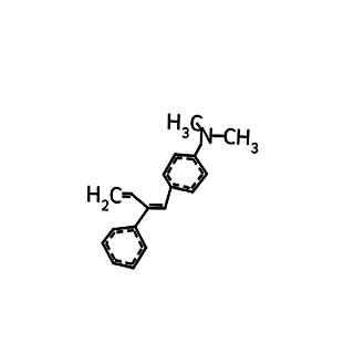 C=C/C(=C\c1ccc(N(C)C)cc1)c1ccccc1